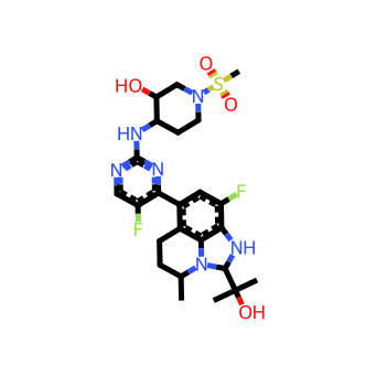 CC1CCc2c(-c3nc(NC4CCN(S(C)(=O)=O)CC4O)ncc3F)cc(F)c3c2N1C(C(C)(C)O)N3